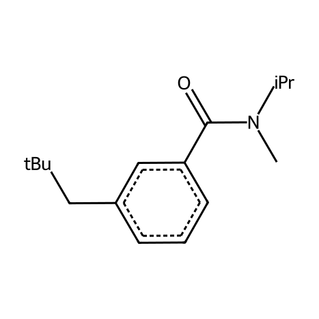 CC(C)N(C)C(=O)c1cccc(CC(C)(C)C)c1